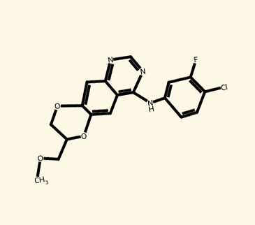 COCC1COc2cc3ncnc(Nc4ccc(Cl)c(F)c4)c3cc2O1